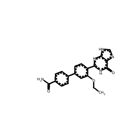 CCOc1cc(-c2ccc(C(N)=O)cc2)ccc1-c1nc2[nH]cnc2c(=O)[nH]1